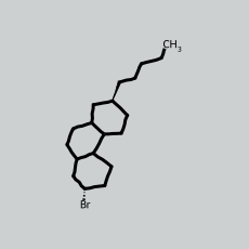 CCCCC[C@H]1CCC2C(CCC3C[C@@H](Br)CCC32)C1